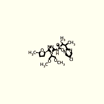 COCC(COC)n1c(NS(=O)(=O)C(C)C(C)c2ncc(Cl)cn2)nnc1[C@H]1CC[C@@H](C)O1